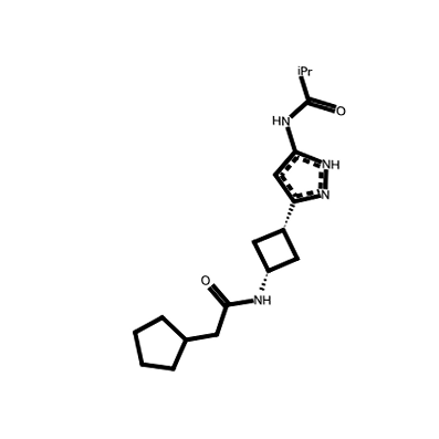 CC(C)C(=O)Nc1cc([C@H]2C[C@@H](NC(=O)CC3CCCC3)C2)n[nH]1